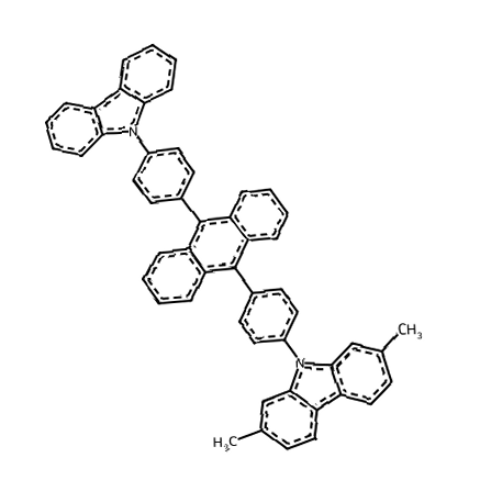 Cc1ccc2c3ccc(C)cc3n(-c3ccc(-c4c5ccccc5c(-c5ccc(-n6c7ccccc7c7ccccc76)cc5)c5ccccc45)cc3)c2c1